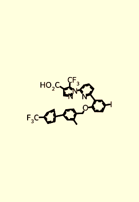 Cc1cc(-c2ccc(C(F)(F)F)cc2)ccc1COc1ccc(I)cc1-c1cccc(-n2ncc(C(=O)O)c2C(F)(F)F)n1